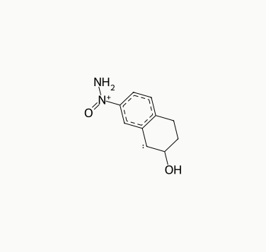 N[N+](=O)c1ccc2c(c1)[C]C(O)CC2